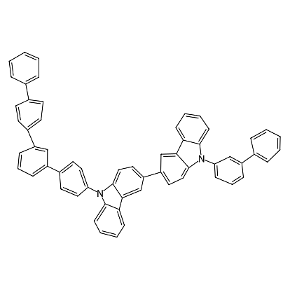 c1ccc(-c2ccc(-c3cccc(-c4ccc(-n5c6ccccc6c6cc(-c7ccc8c(c7)c7ccccc7n8-c7cccc(-c8ccccc8)c7)ccc65)cc4)c3)cc2)cc1